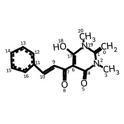 C=C1N(C)C(=O)C(C(=O)/C=C/c2ccccc2)=C(O)N1C